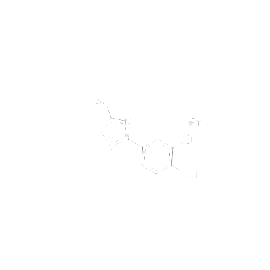 CC(=O)c1coc(-c2ccc(O)c(OC(C)C)c2)n1